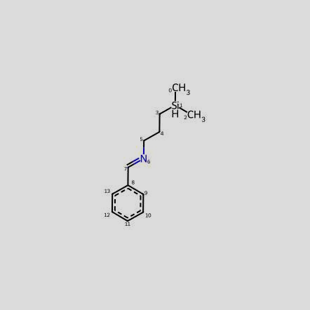 C[SiH](C)CCC/N=C/c1ccccc1